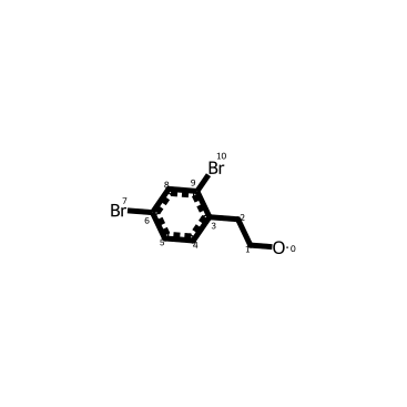 [O]CCc1ccc(Br)cc1Br